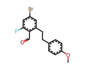 COc1ccc(CCc2cc(Br)cc(F)c2C=O)cc1